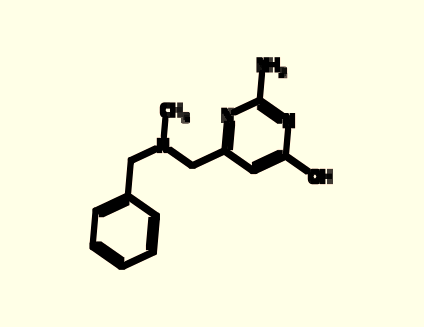 CN(Cc1ccccc1)Cc1cc(O)nc(N)n1